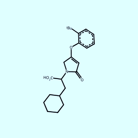 CC(C)(C)c1ccccc1OC1=CC(=O)N(C(CC2CCCCC2)C(=O)O)C1